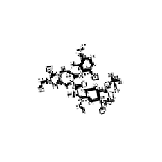 CC[C@@H](NC(=O)N1Cc2nn(CC)c(=O)n2C[C@H](Cc2cc(Cl)ccc2OC)C1=O)c1ccc(C(=O)OC(C)(C)C)c([N+](=O)[O-])c1